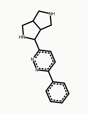 c1ccc(-c2ccc(C3NCC4CNCC43)nn2)cc1